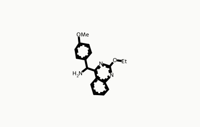 CCOc1nc(C(N)c2ccc(OC)cc2)c2ccccc2n1